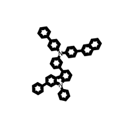 c1ccc(-c2ccc(N(c3ccc(-c4ccc5ccccc5c4)cc3)c3cccc(-c4cccc5c4c4ccc(-c6ccccc6)cc4n5-c4ccccc4)c3)cc2)cc1